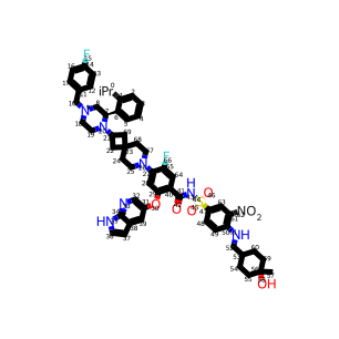 CC(C)c1ccccc1[C@@H]1CN(Cc2ccc(F)cc2)CCN1C1CC2(CCN(c3cc(Oc4cnc5[nH]ccc5c4)c(C(=O)NS(=O)(=O)c4ccc(NCC5CCC(C)(O)CC5)c([N+](=O)[O-])c4)cc3F)CC2)C1